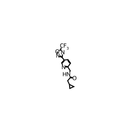 O=C(CC1CC1)NCc1ccc(-c2noc(C(F)(F)F)n2)cn1